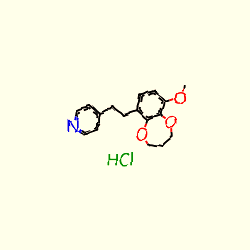 COc1ccc(CCc2ccncc2)c2c1OCCCO2.Cl